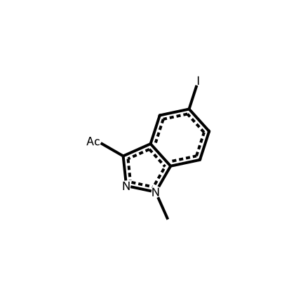 CC(=O)c1nn(C)c2ccc(I)cc12